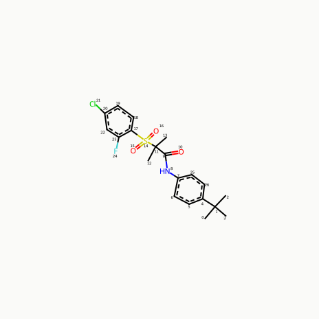 CC(C)(C)c1ccc(NC(=O)C(C)(C)S(=O)(=O)c2ccc(Cl)cc2F)cc1